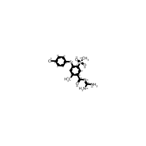 Cc1cc(Sc2ccc(Cl)cc2)c(S(C)(=O)=O)cc1C(=O)N=C(N)N